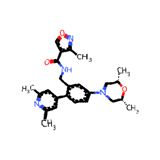 Cc1cc(-c2ccc(N3C[C@@H](C)O[C@@H](C)C3)cc2CNC(=O)c2conc2C)cc(C)n1